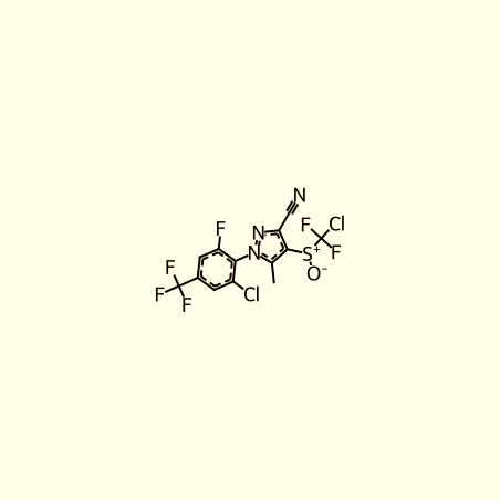 Cc1c([S+]([O-])C(F)(F)Cl)c(C#N)nn1-c1c(F)cc(C(F)(F)F)cc1Cl